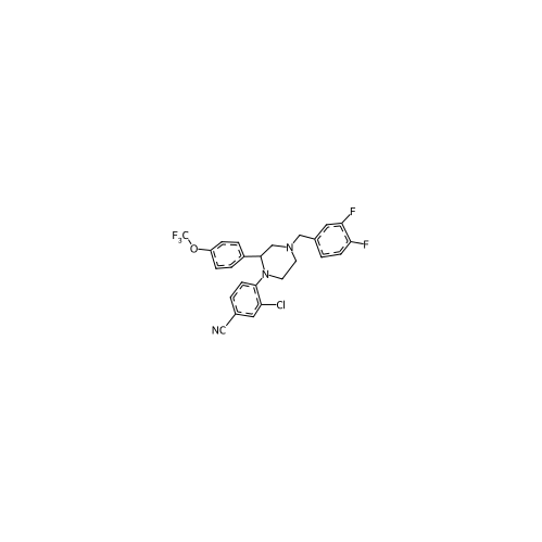 N#Cc1ccc(N2CCN(Cc3ccc(F)c(F)c3)CC2c2ccc(OC(F)(F)F)cc2)c(Cl)c1